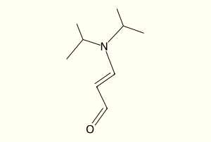 CC(C)N(C=CC=O)C(C)C